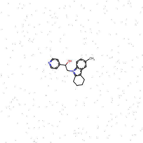 Cc1ccc2c(c1)c1c(n2CC(O)c2ccncc2)CCCC1